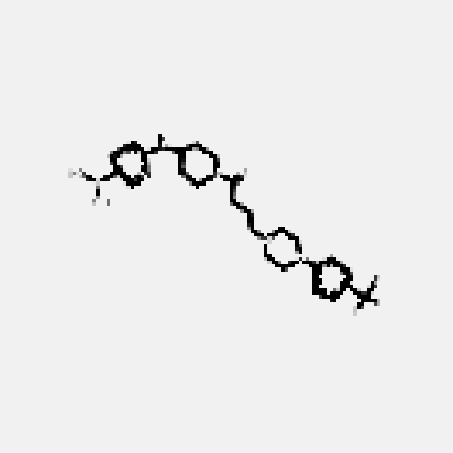 ON(O)c1ccc(NC2CCN(C(=S)CCCN3CCN(c4ccc(C(F)(F)F)cc4)CC3)CC2)nc1